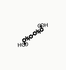 O=C(O)c1cccc(N=Nc2ccc(-c3ccc(N=Nc4cccc(C(=O)O)c4)cc3)cc2)c1